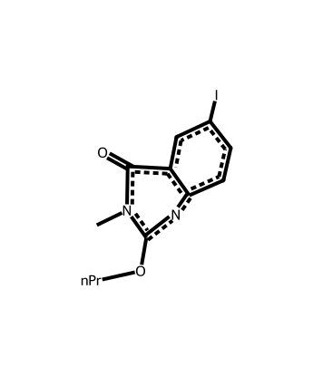 CCCOc1nc2ccc(I)cc2c(=O)n1C